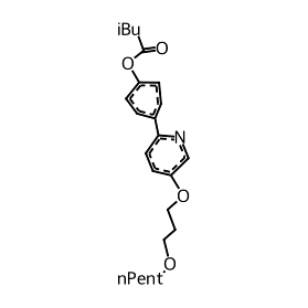 CCCCCOCCCOc1ccc(-c2ccc(OC(=O)C(C)CC)cc2)nc1